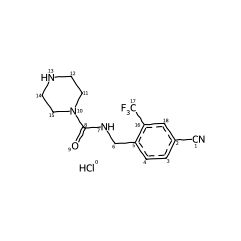 Cl.N#Cc1ccc(CNC(=O)N2CCNCC2)c(C(F)(F)F)c1